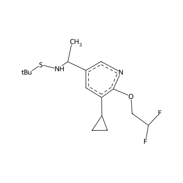 CC(NSC(C)(C)C)c1cnc(OCC(F)F)c(C2CC2)c1